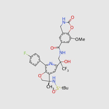 COc1cc(C(=O)NCC(O)(c2cc3c(c(-c4ccc(F)cc4)n2)OC[C@@]3(C)N[S+]([O-])C(C)(C)C)C(F)(F)F)cc2c1OC(=O)NC2